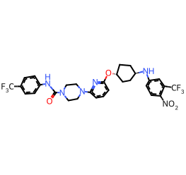 O=C(Nc1ccc(C(F)(F)F)cc1)N1CCN(c2cccc(O[C@H]3CC[C@H](Nc4ccc([N+](=O)[O-])c(C(F)(F)F)c4)CC3)n2)CC1